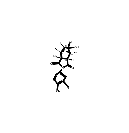 C[C@]12O[C@](C)([C@@H]3C(=O)N(c4ccc(C#N)c(I)c4)C(=O)[C@@H]31)C(O)(O)[C@H]2F